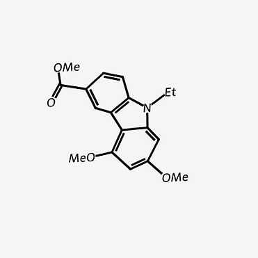 CCn1c2ccc(C(=O)OC)cc2c2c(OC)cc(OC)cc21